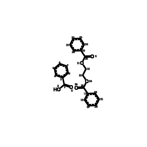 O=C(O)c1ccccc1.O=C(OCCOC(=O)c1ccccc1)c1ccccc1